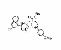 COc1ccc(N2CCC(CC(=O)NC(C)c3cc(Cl)cc4ccccc34)(C(=O)OC(C)(C)C)CC2)cc1